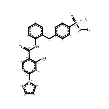 CCO[P@](C)(=O)c1ccc(Cc2ccccc2NC(=O)c2cnc(-n3cccn3)nc2O)cc1